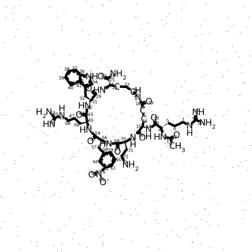 CC(=O)N[C@@H](CCCNC(=N)N)C(=O)N[C@H]1CCC(=O)NCCC[C@@H](C(N)=O)NC(=O)[C@H](Cc2c[nH]c3ccccc23)NC(=O)[C@H](CCCNC(=N)N)NC(=O)[C@@H](Cc2cccc([N+](=O)[O-])c2)NC(=O)[C@H](CCN)NC1=O